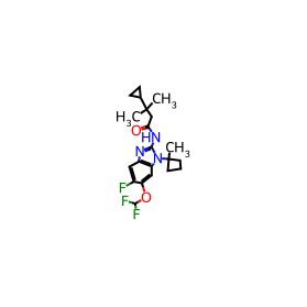 CC(C)(CC(=O)Nc1nc2cc(F)c(OC(F)F)cc2n1C1(C)CCC1)C1CC1